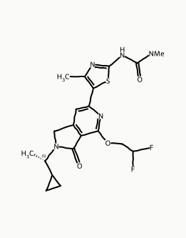 CNC(=O)Nc1nc(C)c(-c2cc3c(c(OCC(F)F)n2)C(=O)N([C@@H](C)C2CC2)C3)s1